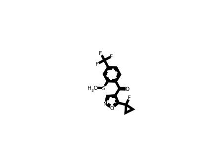 CSc1cc(C(F)(F)F)ccc1C(=O)c1cnoc1C1(F)CC1